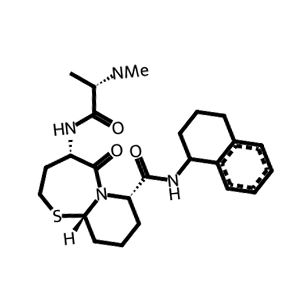 CN[C@@H](C)C(=O)N[C@H]1CCS[C@H]2CCC[C@@H](C(=O)NC3CCCc4ccccc43)N2C1=O